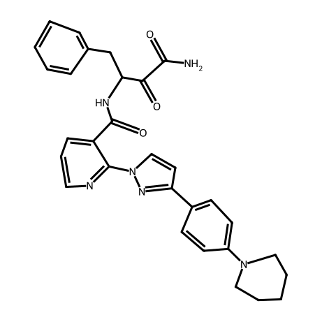 NC(=O)C(=O)C(Cc1ccccc1)NC(=O)c1cccnc1-n1ccc(-c2ccc(N3CCCCC3)cc2)n1